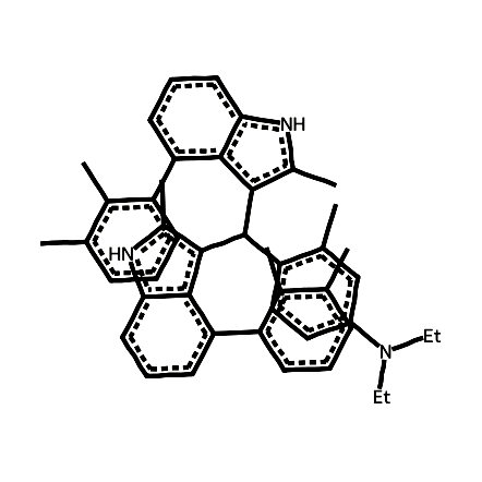 CCN(CC)c1ccc(C(c2c(C)[nH]c3cccc(-c4cccc(C)c4C)c23)c2c(C)[nH]c3cccc(-c4cccc(C)c4C)c23)c(C)c1